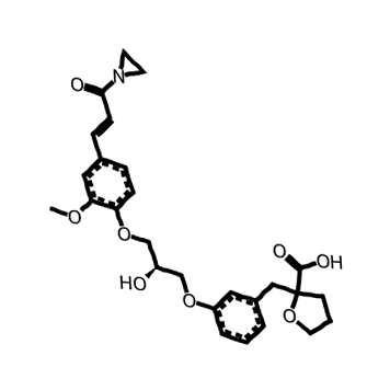 COc1cc(C=CC(=O)N2CC2)ccc1OC[C@H](O)COc1cccc(CC2(C(=O)O)CCCO2)c1